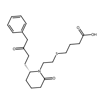 O=C(O)CCCSCCN1C(=O)CCC[C@@H]1CCC(=O)Cc1ccccc1